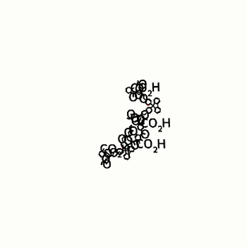 C=CC(=O)OCC(COc1ccc(C2(c3ccc(OCC(COC(=O)C=C)OC(C)C(=O)C4CC=CCC4C(=O)O)cc3)c3ccccc3-c3ccccc32)cc1)OC(=O)c1ccc(C(=O)c2ccc(C(=O)C(C)(C)OC(COC(=O)C=C)COc3ccc(C4(c5ccc(OCC(COC(=O)C=C)OC6CC=CCC6C(=O)O)cc5)c5ccccc5-c5ccccc54)cc3)c(C(=O)O)c2)cc1C(=O)O